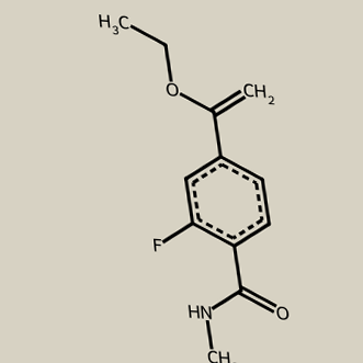 C=C(OCC)c1ccc(C(=O)NC)c(F)c1